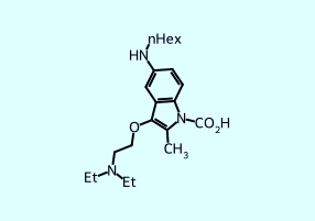 CCCCCCNc1ccc2c(c1)c(OCCN(CC)CC)c(C)n2C(=O)O